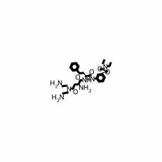 CCN(CC)S(=O)(=O)c1cccc(NC(=O)[C@H](CCc2ccccc2)NC(=O)[C@@H](N)CC(=O)N(CCN)CCN)c1